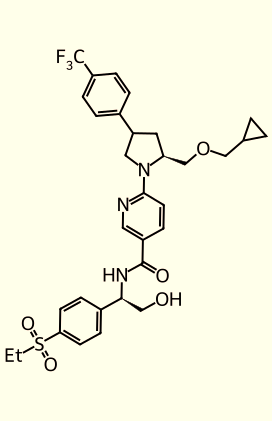 CCS(=O)(=O)c1ccc([C@H](CO)NC(=O)c2ccc(N3CC(c4ccc(C(F)(F)F)cc4)C[C@H]3COCC3CC3)nc2)cc1